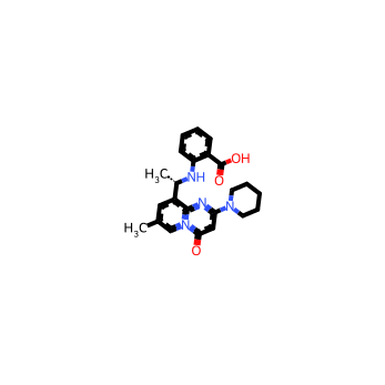 Cc1cc([C@H](C)Nc2ccccc2C(=O)O)c2nc(N3CCCCC3)cc(=O)n2c1